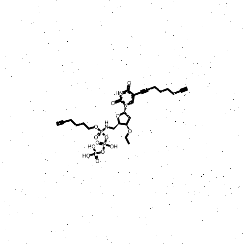 C#CCCCCC#Cc1cn([C@H]2C[C@@H](OCC)[C@@H](CNP(=O)(OCCCCC#C)OP(=O)(O)OP(=O)(O)O)O2)c(=O)[nH]c1=O